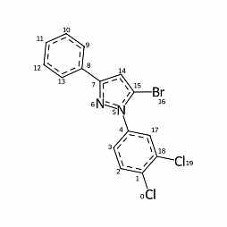 Clc1ccc(-n2nc(-c3ccccc3)cc2Br)cc1Cl